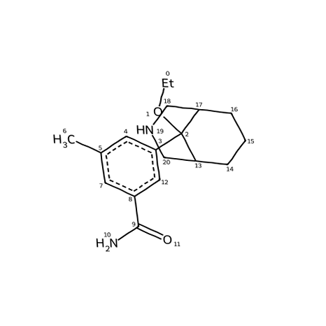 CCOC1(c2cc(C)cc(C(N)=O)c2)C2CCCC1CNC2